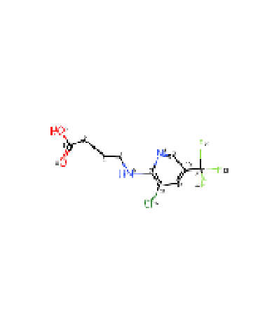 O=C(O)CCCNc1ncc(C(F)(F)F)cc1Cl